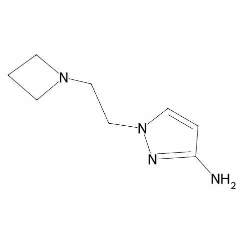 Nc1ccn(CCN2CCC2)n1